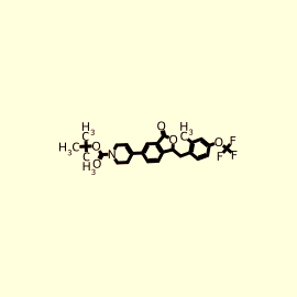 Cc1cc(OC(F)(F)F)ccc1CC1OC(=O)c2cc(C3=CCN(C(=O)OC(C)(C)C)CC3)ccc21